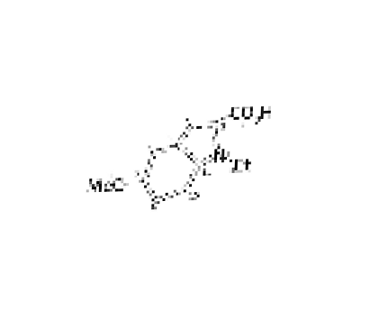 CCn1c(C(=O)O)cc2cc(OC)ccc21